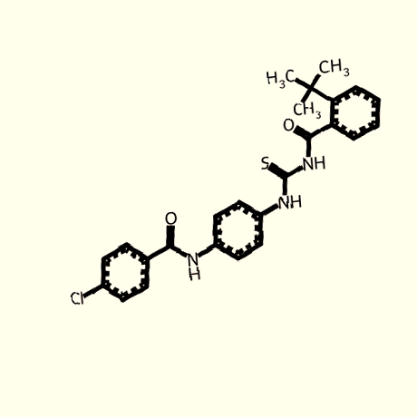 CC(C)(C)c1ccccc1C(=O)NC(=S)Nc1ccc(NC(=O)c2ccc(Cl)cc2)cc1